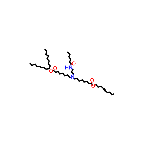 CCCCC#CCCCOC(=O)CCCCCCCN(CCCCCCCC(=O)OC(CCCCCCCC)CCCCCCCC)CCCNC(=O)CCCCC